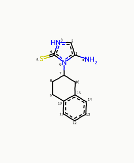 Nc1c[nH]c(=S)n1C1CCc2ccccc2C1